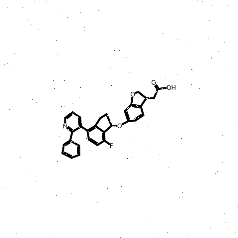 O=C(O)CC1COc2cc(O[C@@H]3CCc4c(-c5cccnc5-c5ccccc5)ccc(F)c43)ccc21